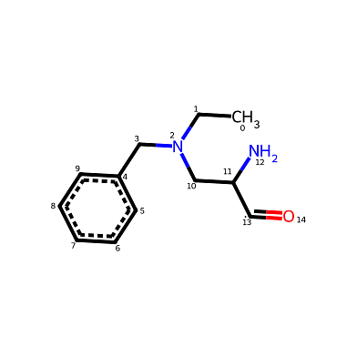 CCN(Cc1ccccc1)CC(N)[C]=O